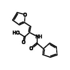 O=C(O)C(=Cc1ccco1)NC(=O)c1ccccc1